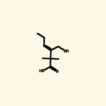 CCC=C(CO)C(C)(C)C(=O)O